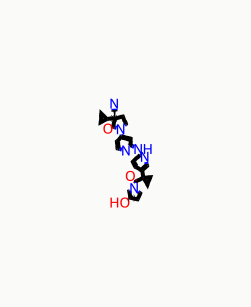 N#C[C@@]1(C2CC2)CCN(c2ccnc(Nc3ccc(C4(C(=O)N5CC[C@@H](O)C5)CC4)cn3)c2)C1=O